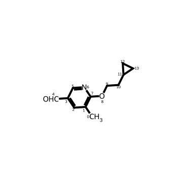 Cc1cc(C=O)cnc1OCCC1CC1